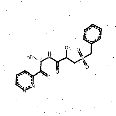 CCC[C@H](NC(=O)C(O)CS(=O)(=O)Cc1ccccc1)C(=O)c1cccnn1